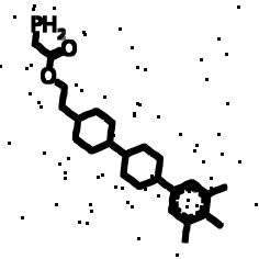 Cc1cc(C2CCC(C3CCC(CCOC(=O)CP)CC3)CC2)cc(C)c1C